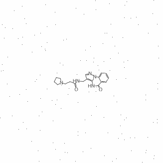 O=C(CCN1CCCC1)NCc1cnn2c1[nH]c(=O)c1ccccc12